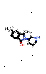 C=C1c2cc(C)ccc2C(=O)N1C1CCCNC1